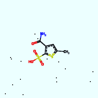 Cc1cc(C(N)=O)c(S(=O)(=O)O)s1